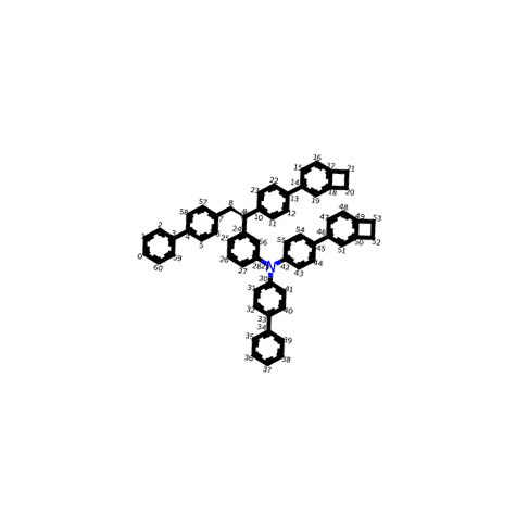 c1ccc(-c2ccc(C[C@@H](c3ccc(-c4ccc5c(c4)CC5)cc3)c3cccc(N(c4ccc(-c5ccccc5)cc4)c4ccc(-c5ccc6c(c5)CC6)cc4)c3)cc2)cc1